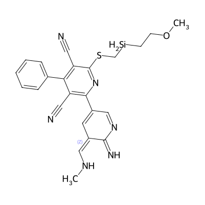 CN/C=C1/C=C(c2nc(SC[SiH2]CCOC)c(C#N)c(-c3ccccc3)c2C#N)C=NC1=N